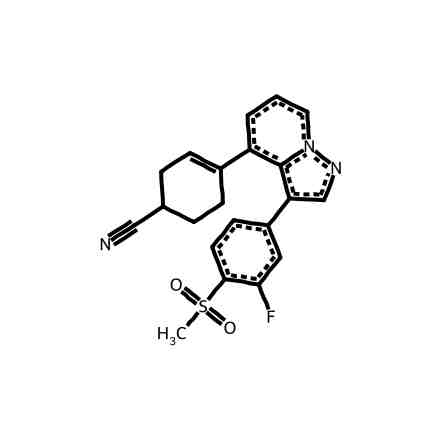 CS(=O)(=O)c1ccc(-c2cnn3cccc(C4=CCC(C#N)CC4)c23)cc1F